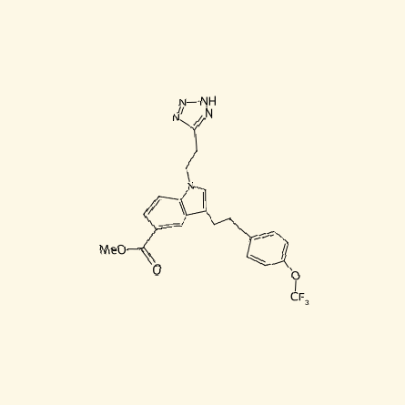 COC(=O)c1ccc2c(c1)c(CCc1ccc(OC(F)(F)F)cc1)cn2CCc1nn[nH]n1